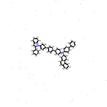 c1ccc(-c2ccc(N(c3ccc(-c4ccc(-c5ccc(-n6c(-c7ccccc7)cc7ccccc76)cc5)cc4)cc3)c3ccc4c(ccc5ccccc54)c3)cc2)cc1